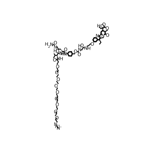 CCc1c2c(nc3ccc(OCCCNC(=O)CNC(=O)OCc4ccc(NC(=O)[C@H](CCCNC(N)=O)NC(=O)[C@@H](NC(=O)CCOCCOCCOCCOCCOCCOCCOCCOCCOCCN=[N+]=[N-])C(C)C)cc4)cc13)-c1cc3c(c(=O)n1C2)COC(=O)[C@]3(O)CC